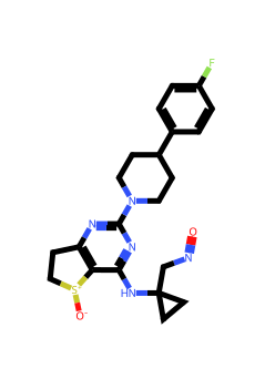 O=NCC1(Nc2nc(N3CCC(c4ccc(F)cc4)CC3)nc3c2[S+]([O-])CC3)CC1